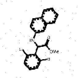 COC(=O)C(Nc1ccc2ccccc2c1)c1c(Cl)cccc1Cl